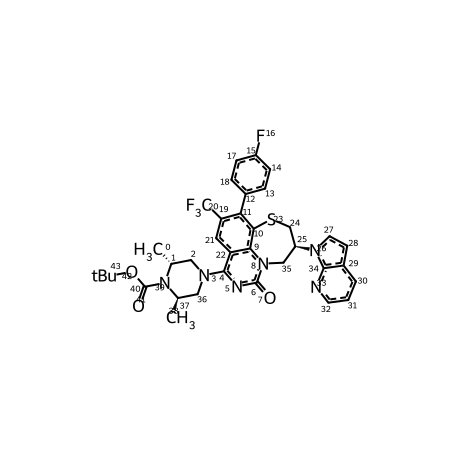 C[C@@H]1CN(c2nc(=O)n3c4c(c(-c5ccc(F)cc5)c(C(F)(F)F)cc24)SC[C@@H](n2ccc4cccnc42)C3)C[C@@H](C)N1C(=O)OC(C)(C)C